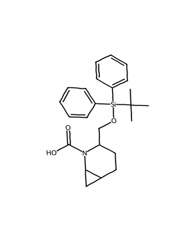 CC(C)(C)[Si](OCC1CCC2CC2N1C(=O)O)(c1ccccc1)c1ccccc1